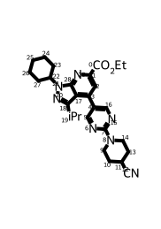 CCOC(=O)c1cc(-c2cnc(N3CCC(C#N)CC3)nc2)c2c(C(C)C)nn(C3CCCCC3)c2n1